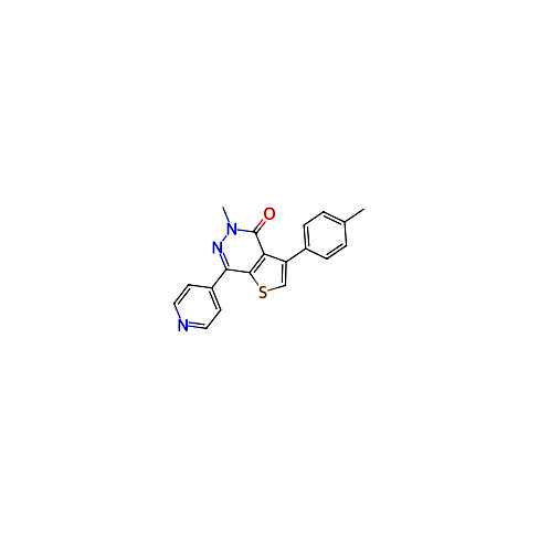 Cc1ccc(-c2csc3c(-c4ccncc4)nn(C)c(=O)c23)cc1